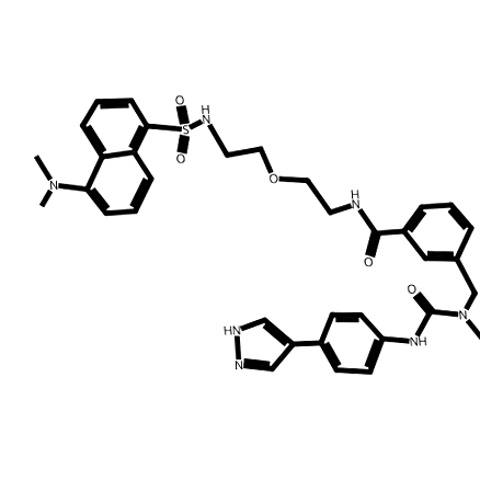 CN(Cc1cccc(C(=O)NCCOCCNS(=O)(=O)c2cccc3c(N(C)C)cccc23)c1)C(=O)Nc1ccc(-c2cn[nH]c2)cc1